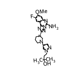 COc1cc2nc(N)n3nc([C@@H]4CCCN(c5cnn(CCC(C)(C)O)c5)C4)nc3c2cc1F